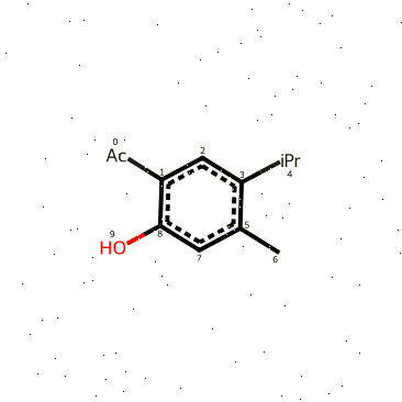 CC(=O)c1cc(C(C)C)c(C)cc1O